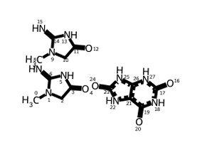 CN1CC(=O)NC1=N.CN1CC(=O)NC1=N.O=c1[nH]c(=O)c2[nH]c(=O)[nH]c2[nH]1